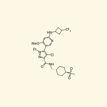 CCn1nc(C(=O)NC[C@H]2CC[C@H](S(C)(=O)=O)CC2)c(Cl)c1-c1cnc(NC2CC(C(F)(F)F)C2)cc1OC